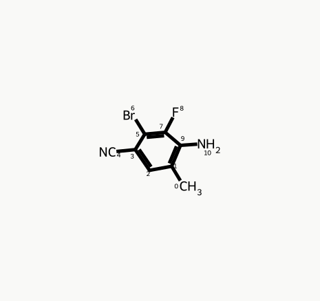 Cc1cc(C#N)c(Br)c(F)c1N